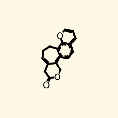 O=C1CC2=CCCc3c4c(ccc3=C2CO1)=CC=CO4